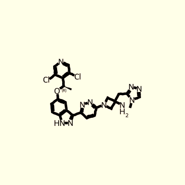 C[C@@H](Oc1ccc2[nH]nc(-c3ccc(N4CC(N)(Cc5nncn5C)C4)nn3)c2c1)c1c(Cl)cncc1Cl